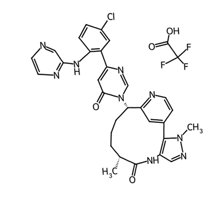 C[C@@H]1CCC[C@H](n2cnc(-c3cc(Cl)ccc3Nc3cnccn3)cc2=O)c2cc(ccn2)-c2c(cnn2C)NC1=O.O=C(O)C(F)(F)F